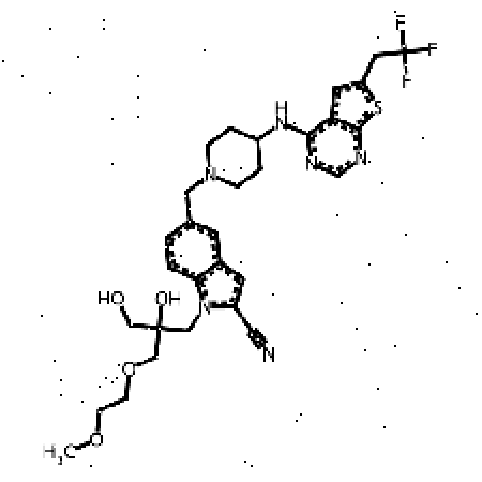 COCCOCC(O)(CO)Cn1c(C#N)cc2cc(CN3CCC(Nc4ncnc5sc(CC(F)(F)F)cc45)CC3)ccc21